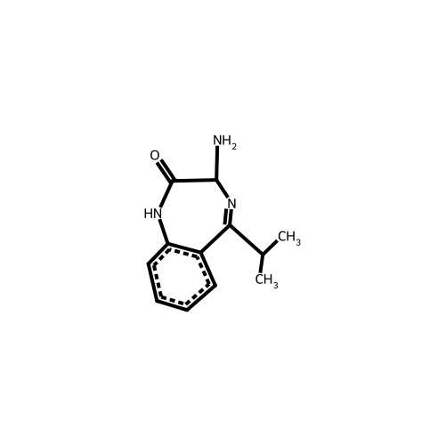 CC(C)C1=NC(N)C(=O)Nc2ccccc21